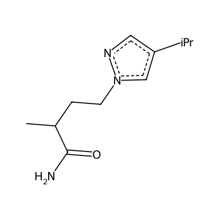 CC(CCn1cc(C(C)C)cn1)C(N)=O